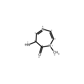 CN1C=CN=CC([NH])C1=O